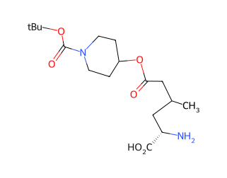 CC(CC(=O)OC1CCN(C(=O)OC(C)(C)C)CC1)C[C@H](N)C(=O)O